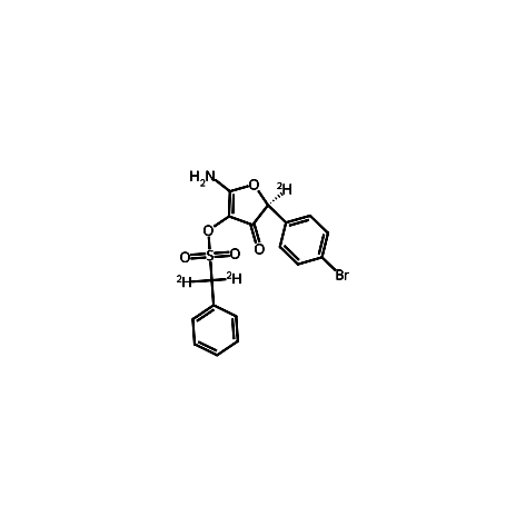 [2H]C([2H])(c1ccccc1)S(=O)(=O)OC1=C(N)O[C@@]([2H])(c2ccc(Br)cc2)C1=O